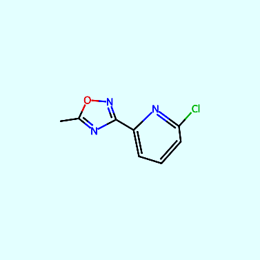 Cc1nc(-c2cccc(Cl)n2)no1